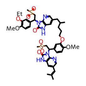 CCOc1cc(C(CS(C)(=O)=O)n2c(=O)[nH]c3cc(CC(C)CCCOc4cc(C(CS(C)(=O)=O)n5c(=O)[nH]c6cc(C=C(C)C)cnc65)ccc4OC)cnc32)ccc1OC